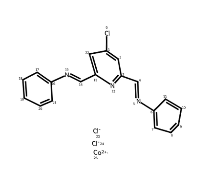 Clc1cc(C=Nc2ccccc2)nc(C=Nc2ccccc2)c1.[Cl-].[Cl-].[Co+2]